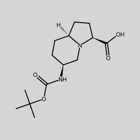 CC(C)(C)OC(=O)N[C@H]1CC[C@H]2CC[C@@H](C(=O)O)N2C1